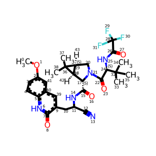 COc1ccc2[nH]c(=O)c(CC(C#N)NC(=O)[C@@H]3[C@@H]4[C@H](CN3C(=O)[C@@H](NC(=O)C(F)(F)F)C(C)(C)C)C4(C)C)cc2c1